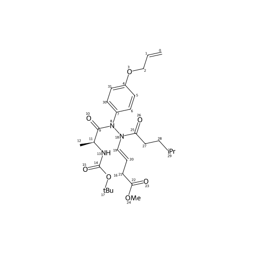 C=CCOc1ccc(N(C(=O)[C@H](C)NC(=O)OC(C)(C)C)N(C=CCC(=O)OC)C(=O)CCC(C)C)cc1